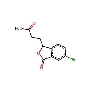 CC(=O)CCC1OC(=O)c2cc(Br)ccc21